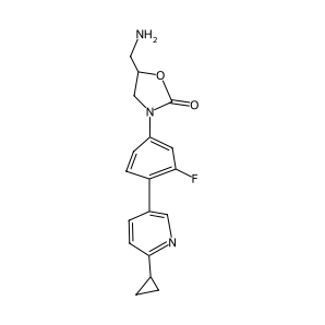 NCC1CN(c2ccc(-c3ccc(C4CC4)nc3)c(F)c2)C(=O)O1